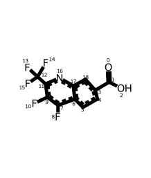 O=C(O)c1ccc2c(F)c(F)c(C(F)(F)F)nc2c1